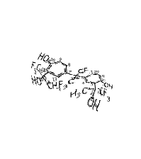 CC(O)(c1cc(C(c2ccc(O)c(C(C)(O)C(F)(F)F)c2)(C(F)(F)F)C(F)(F)F)ccc1O)C(F)(F)F